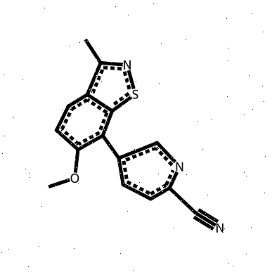 COc1ccc2c(C)nsc2c1-c1ccc(C#N)nc1